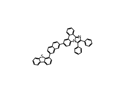 c1ccc(-c2nc3c4ccccc4c4cc(-c5ccc6ccc(-c7cccc8c7sc7ccccc78)cc6c5)ccc4n3c2-c2ccccc2)cc1